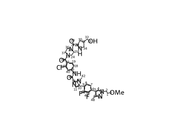 COCCn1cc(-c2ccc(-c3cnc(C(=O)Nc4ccc(C(=O)N5CCN(C(=O)[C@@H]6CC(CO)CN6)CC5)c(Cl)c4)n3C)c(F)c2F)c(C)n1